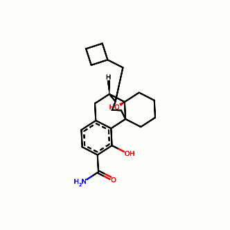 NC(=O)c1ccc2c(c1O)C13CCCC[C@@]1(O)[C@@H](C2)C(CC1CCC1)CC3